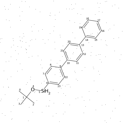 CC(C)(C)O[SiH2]c1ccc(-c2ccc(-c3ccccc3)cc2)cc1